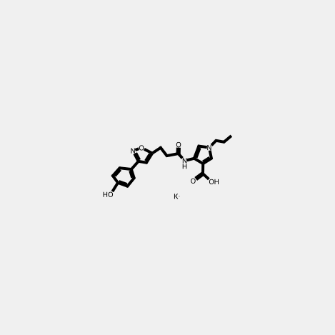 CCCn1cc(NC(=O)CCc2cc(-c3ccc(O)cc3)no2)c(C(=O)O)c1.[K]